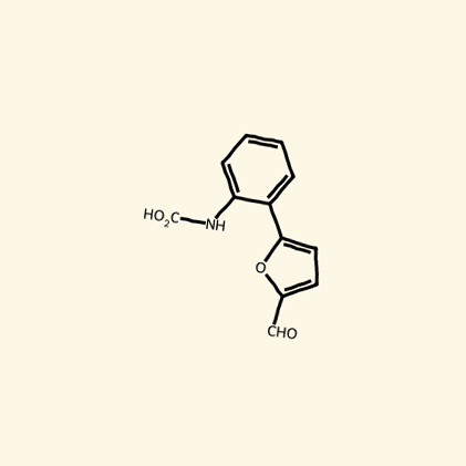 O=Cc1ccc(-c2ccccc2NC(=O)O)o1